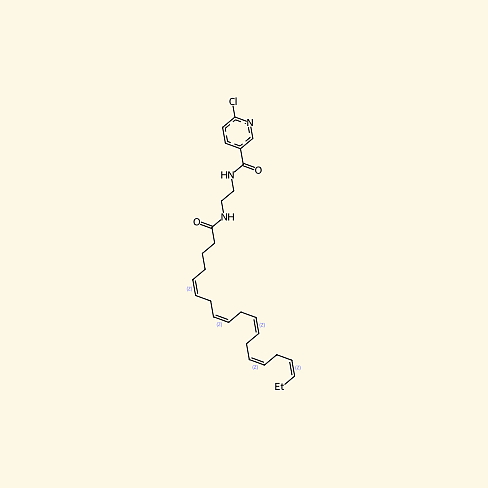 CC/C=C\C/C=C\C/C=C\C/C=C\C/C=C\CCCC(=O)NCCNC(=O)c1ccc(Cl)nc1